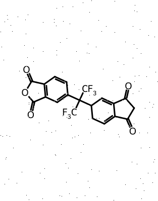 O=C1CC(=O)C2=CC(C(c3ccc4c(c3)C(=O)OC4=O)(C(F)(F)F)C(F)(F)F)CC=C12